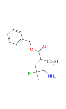 CCOC(=O)C(CC(C)(F)CN)C(=O)OCc1ccccc1